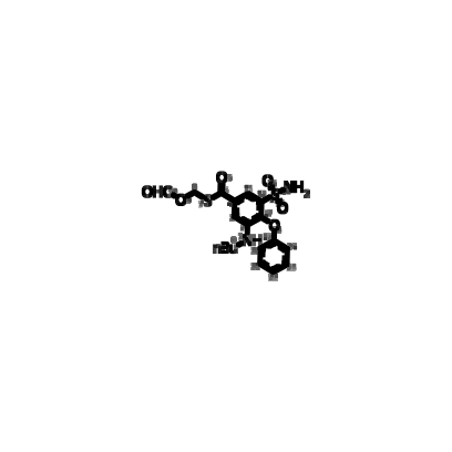 CCCCNc1cc(C(=O)SCOC=O)cc(S(N)(=O)=O)c1Oc1ccccc1